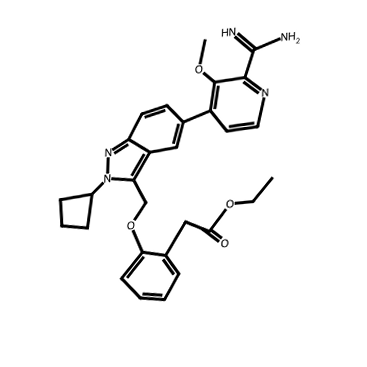 CCOC(=O)Cc1ccccc1OCc1c2cc(-c3ccnc(C(=N)N)c3OC)ccc2nn1C1CCC1